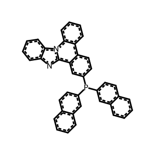 c1ccc2cc(P(c3ccc4ccccc4c3)c3ccc4c5ccccc5n5c6ccccc6nc5c4c3)ccc2c1